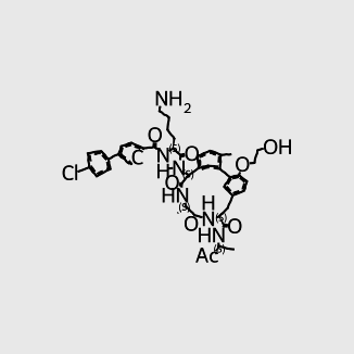 CC(=O)[C@H](C)NC(=O)[C@@H]1Cc2ccc(OCCO)c(c2)-c2cc(ccc2C)[C@H](N(C)C(=O)[C@H](CCCCN)NC(=O)c2ccc(-c3ccc(Cl)cc3)cc2)C(=O)N[C@@H](C)C(=O)N1